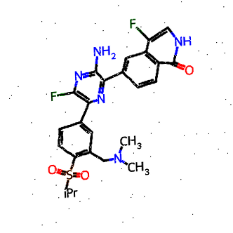 CC(C)S(=O)(=O)c1ccc(-c2nc(-c3ccc4c(=O)[nH]cc(F)c4c3)c(N)nc2F)cc1CN(C)C